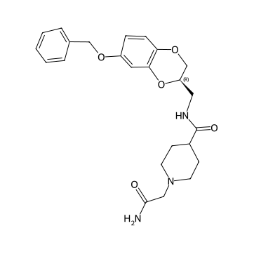 NC(=O)CN1CCC(C(=O)NC[C@@H]2COc3ccc(OCc4ccccc4)cc3O2)CC1